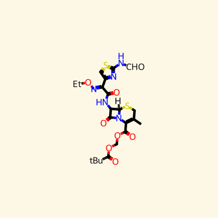 CCON=C(C(=O)NC1C(=O)N2C(C(=O)OCOC(=O)C(C)(C)C)=C(C)CS[C@@H]12)c1csc(NC=O)n1